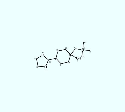 C[Si](C)(C)CC1(O)CCC(C2OCCO2)CC1